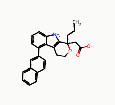 CCCC1(CC(=O)O)OCCc2c1[nH]c1cccc(-c3ccc4ccccc4c3)c21